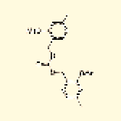 COc1cc(C)ccc1COC(=O)OCc1ccc(C)cc1OC